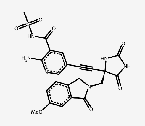 COc1ccc2c(c1)C(=O)N(C[C@@]1(C#Cc3cnc(N)c(C(=O)NS(C)(=O)=O)c3)NC(=O)NC1=O)C2